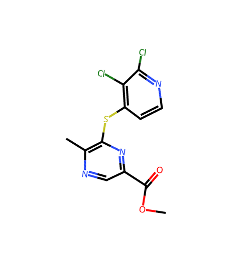 COC(=O)c1cnc(C)c(Sc2ccnc(Cl)c2Cl)n1